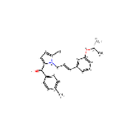 CCc1ccc(C(=O)c2ccc(C)cc2)n1C/C=C/c1cccc(O[C@@H](C)C(=O)O)c1